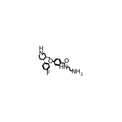 NCCNC(=O)c1ccc(OC[C@@H]2CNCC[C@H]2c2ccc(F)cc2)cc1